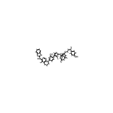 Cc1c(Nc2nc3ccccc3s2)nnc2c1CCCN2c1ccc(-c2cnn(CC34CC5(C)CC(C)(C3)CC(OCCN(C)c3ccc(O)cc3)(C5)C4)c2C)c(C(=O)O)n1